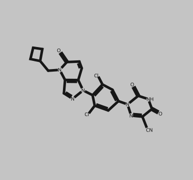 N#Cc1nn(-c2cc(Cl)c(-n3ncc4c3ccc(=O)n4CC3CCC3)c(Cl)c2)c(=O)[nH]c1=O